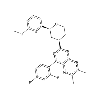 COc1cccc([C@@H]2C[C@H](c3nc(-c4ccc(F)cc4F)c4nc(C)c(C)nc4n3)CCO2)n1